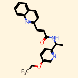 CC(NC(=O)/C=C/c1ccc2ccccc2n1)c1ccc(OCC(F)(F)F)cn1